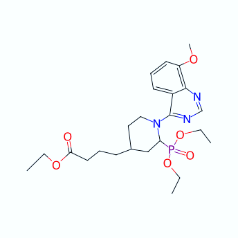 CCOC(=O)CCCC1CCN(c2ncnc3c(OC)cccc23)C(P(=O)(OCC)OCC)C1